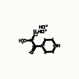 CN(C)C(=O)N1CCNCC1.Cl.Cl